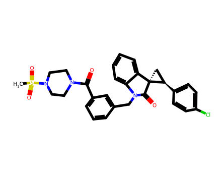 CS(=O)(=O)N1CCN(C(=O)c2cccc(CN3C(=O)[C@@]4(C[C@H]4c4ccc(Cl)cc4)c4ccccc43)c2)CC1